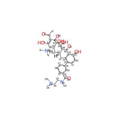 CC(=O)C1=C(O)[C@@H](N(C)C)[C@@H]2C[C@@H]3Cc4c(-c5cccc(C(=O)N(C)CCN(C)C)c5)ccc(O)c4C(=O)C3=C(O)[C@]2(O)C1=O